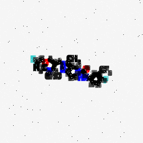 Cc1c2c(nn1CC(COCC(F)F)CN(C)C=O)CCN(C(=O)Nc1ccc(F)c(C(F)(F)F)c1)C2